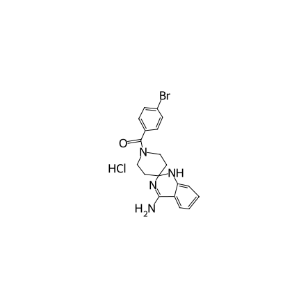 Cl.NC1=NC2(CCN(C(=O)c3ccc(Br)cc3)CC2)Nc2ccccc21